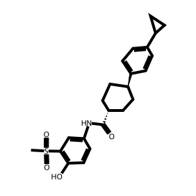 CS(=O)(=O)c1cc(NC(=O)[C@H]2CC[C@H](c3ccc(C4CC4)cc3)CC2)ccc1O